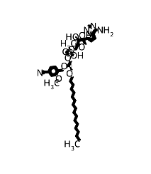 CCCCCCCCCCCCCCCCCCOC[C@H](COP(=O)(O)OC[C@@]1(C)OCC(O)(c2ccc3c(N)ncnn23)[C@@H]1O)OCc1ccc(C#N)cc1OC